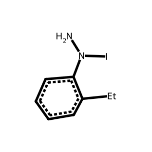 CCc1ccccc1N(N)I